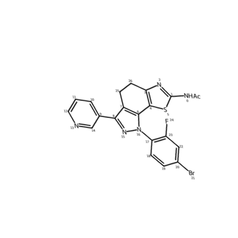 CC(=O)Nc1nc2c(s1)-c1c(c(-c3cccnc3)nn1-c1ccc(Br)cc1F)CC2